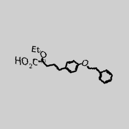 CCO[C@@H](CCCc1ccc(OCCc2ccccc2)cc1)C(=O)O